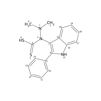 CN(C)N(C(=S)S)c1c(-c2ccccc2)[nH]c2ccccc12